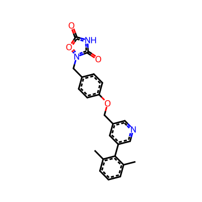 Cc1cccc(C)c1-c1cncc(COc2ccc(Cn3oc(=O)[nH]c3=O)cc2)c1